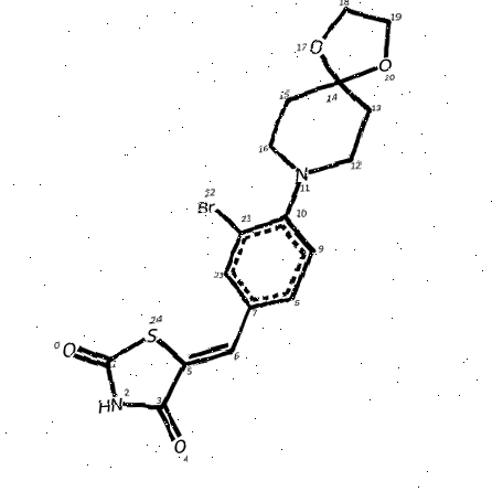 O=C1NC(=O)C(=Cc2ccc(N3CCC4(CC3)OCCO4)c(Br)c2)S1